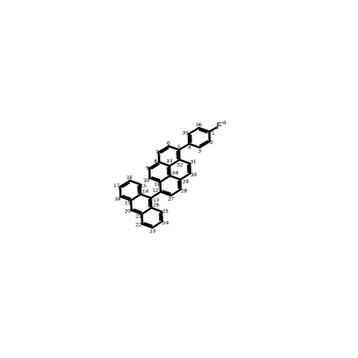 Fc1ccc(-c2ccc3ccc4c(-c5c6ccccc6cc6ccccc56)ccc5ccc2c3c54)cc1